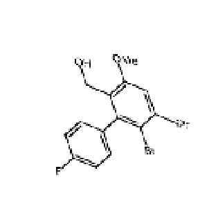 COc1cc(C(C)C)c(Br)c(-c2ccc(F)cc2)c1CO